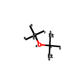 CCC(C)(CC)O[Si](C)(C)C